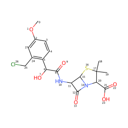 COc1ccc(C(O)C(=O)NC2C(=O)N3C2SC(C)(C)C3C(=O)O)c(CCl)c1